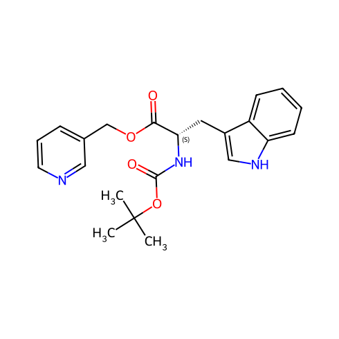 CC(C)(C)OC(=O)N[C@@H](Cc1c[nH]c2ccccc12)C(=O)OCc1cccnc1